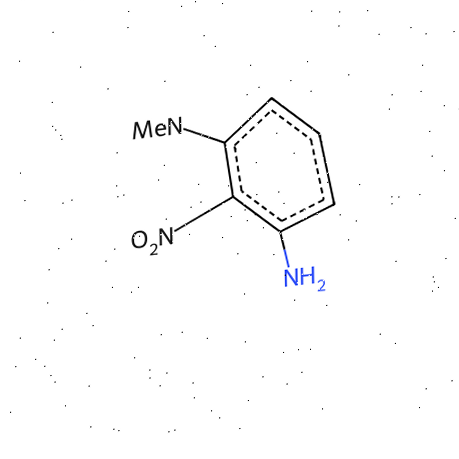 CNc1cccc(N)c1[N+](=O)[O-]